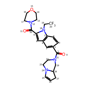 O=C(c1ccc2c(c1)cc(C(=O)N1CCOCC1)n2CC(F)(F)F)N1CCN2C=CCC2C1